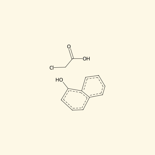 O=C(O)CCl.Oc1cccc2ccccc12